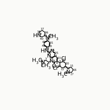 CN(C)CCn1c(=O)c(C2C(Cl)CC(C3CCCN3C)CC2Cl)cc2cnc(Nc3ccc(N(C)C4CCCNC4)cc3)nc21